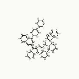 c1ccc(-c2ccc(-c3nc(-n4c5ccccc5c5c6cccc7c8cccc9c%10c(cc(c(cc54)c76)c89)oc4ccccc4%10)nc4ccccc34)cc2)cc1